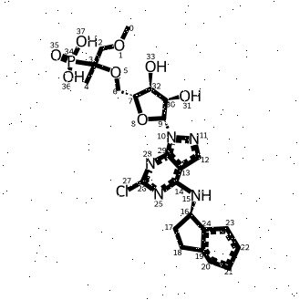 COCC(C)(OC[C@H]1O[C@@H](n2ncc3c(N[C@@H]4CCc5ccccc54)nc(Cl)nc32)[C@H](O)[C@@H]1O)P(=O)(O)O